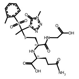 Cc1ccccc1S(=O)(=O)C(C)(SC[C@H](N[C@@H](CCC(N)=O)C(=O)O)C(=O)NCC(=O)O)n1nnn(C)c1=O